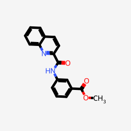 COC(=O)c1cccc(NC(=O)c2ccc3ccccc3n2)c1